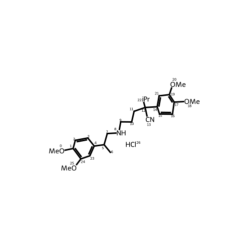 COc1ccc(C(C)CNCCCC(C#N)(c2ccc(OC)c(OC)c2)C(C)C)cc1OC.Cl